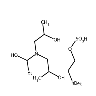 CCC(O)N(CC(C)O)CC(C)O.CCCCCCCCCCCCOS(=O)(=O)O